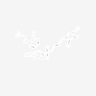 CC[C@@](O)(CNS(=O)(=O)C/C=C/CN1CC(=O)NC1=O)c1ccc(F)c(OCC2CC2)c1